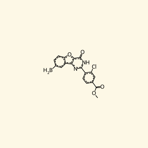 Bc1ccc2oc3c(=O)[nH]c(-c4ccc(C(=O)OC)cc4Cl)nc3c2c1